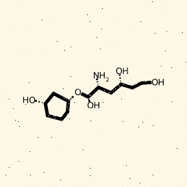 N[C@H](C[C@H](O)CCO)[C@H](O)O[C@@H]1CCC[C@H](O)C1